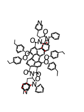 CCc1ccc(Oc2cc3c4c(cc(Oc5ccc(CC)cc5)c5c6c(Oc7ccc(CC)cc7)cc7c8c(cc(Oc9ccc(CC)cc9)c(c2c45)c86)C(=O)N(C(Cc2ccncc2)C(=O)N(c2ccccc2)c2ccccc2)C7=O)C(=O)N(C(Cc2ccncc2)C(=O)N(c2ccccc2)c2ccccc2)C3=O)cc1